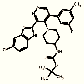 Cc1cc(F)cc(-c2cnnc(-c3nc4cc(Cl)ccc4[nH]3)c2N2CCC(NC(=O)OC(C)(C)C)CC2)c1